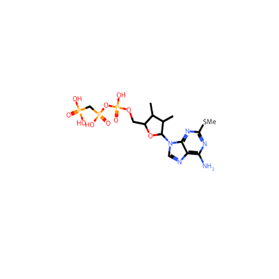 CSc1nc(N)c2ncn(C3OC(COP(=O)(O)OP(=O)(O)CP(=O)(O)O)C(C)C3C)c2n1